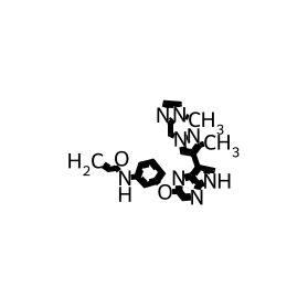 C=CC(=O)Nc1cccc(Oc2cnc3[nH]cc(-c4cn(Cc5nccn5C)nc4C)c3n2)c1